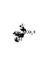 CC(C)CN1CCC2(CC1)CC(C(=O)O)N(Cc1ccc(CN(Cc3ncc[nH]3)C(C)c3ncc[nH]3)cc1)C2